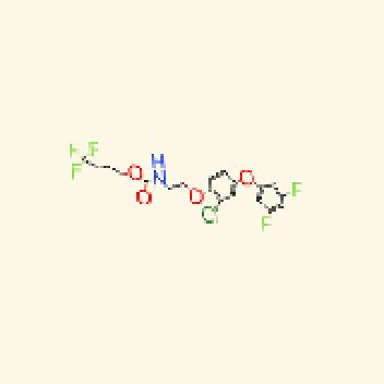 O=C(NCCOc1ccc(Oc2cc(F)cc(F)c2)cc1Cl)OCCCC(F)(F)F